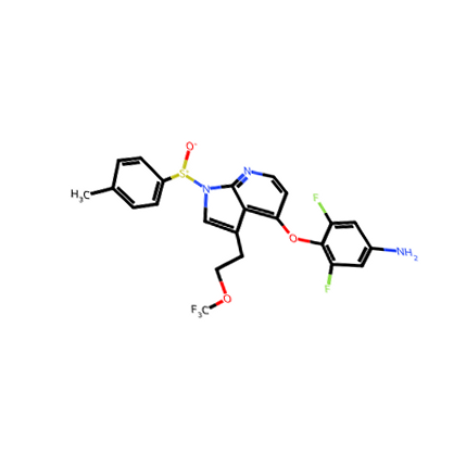 Cc1ccc([S+]([O-])n2cc(CCOC(F)(F)F)c3c(Oc4c(F)cc(N)cc4F)ccnc32)cc1